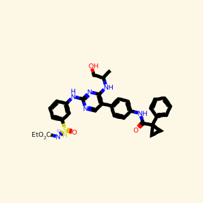 CCOC(=O)/N=[SH](=O)\c1cccc(Nc2ncc(-c3ccc(NC(=O)C4(c5ccccc5)CC4)cc3)c(NC(C)CO)n2)c1